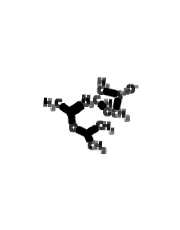 CC(=O)OC(C)C.CO.C[S+](C)[O-]